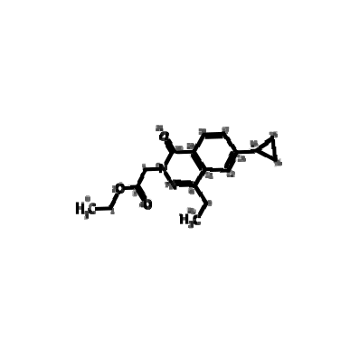 CCOC(=O)Cn1nc(CC)c2cc(C3CC3)ccc2c1=O